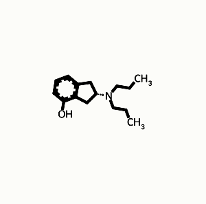 CCCN(CCC)[C@H]1Cc2cccc(O)c2C1